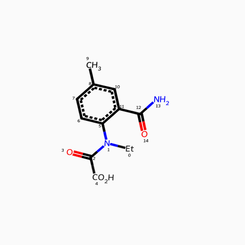 CCN(C(=O)C(=O)O)c1ccc(C)cc1C(N)=O